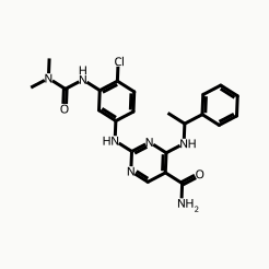 CC(Nc1nc(Nc2ccc(Cl)c(NC(=O)N(C)C)c2)ncc1C(N)=O)c1ccccc1